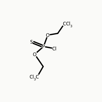 S=P(Cl)(OCC(Cl)(Cl)Cl)OCC(Cl)(Cl)Cl